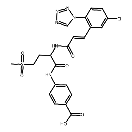 CS(=O)(=O)CCC(NC(=O)C=Cc1cc(Cl)ccc1-n1cnnn1)C(=O)Nc1ccc(C(=O)O)cc1